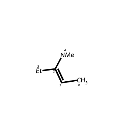 C/C=C(/CC)NC